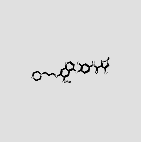 COc1cc2c(Oc3ccc(NC(=O)c4nn(C)cc4Br)cc3F)ccnc2cc1OCCCN1CCOCC1